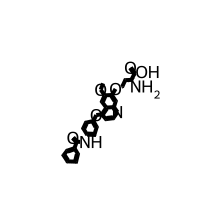 COc1cc2c(Oc3ccc(NC(=O)c4ccccc4)cc3)ccnc2cc1OCC[C@H](N)C(=O)O